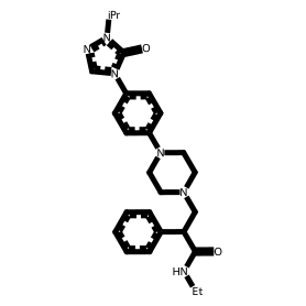 CCNC(=O)C(CN1CCN(c2ccc(-n3cnn(C(C)C)c3=O)cc2)CC1)c1ccccc1